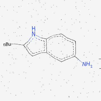 CCCCc1cc2cc(N)ccc2[nH]1